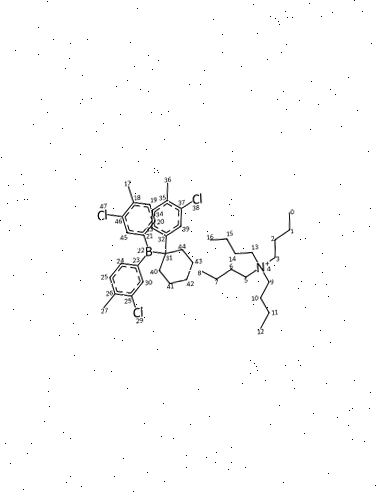 CCCC[N+](CCCC)(CCCC)CCCC.Cc1ccc(B(c2ccc(C)c(Cl)c2)C2(c3ccc(C)c(Cl)c3)CCCCC2)cc1Cl